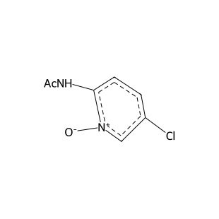 CC(=O)Nc1ccc(Cl)c[n+]1[O-]